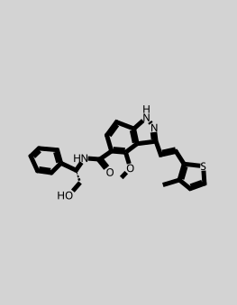 COc1c(C(=O)N[C@H](CO)c2ccccc2)ccc2[nH]nc(/C=C/c3sccc3C)c12